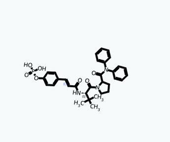 CC(C)(C)[C@H](NC(=O)/C=C/c1ccc(OP(=O)(O)O)cc1)C(=O)N1CCCC1C(=O)N(c1ccccc1)c1ccccc1